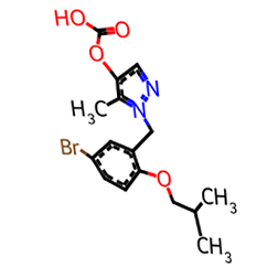 Cc1c(OC(=O)O)cnn1Cc1cc(Br)ccc1OCC(C)C